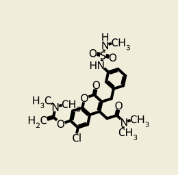 C=C(Oc1cc2oc(=O)c(Cc3cccc(NS(=O)(=O)NC)c3)c(CC(=O)N(C)C)c2cc1Cl)N(C)C